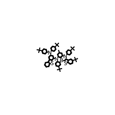 Cc1cc2c3c(c1)N(c1cc(N(c4ccc(C(C)(C)C)cc4)c4ccc(C(C)(C)C)cc4)cc4c1sc1ccccc14)c1ccc(C(C)(C)C)cc1B3c1sc3ccc(C(C)(C)C)cc3c1N2c1ccc(C(C)(C)C)cc1